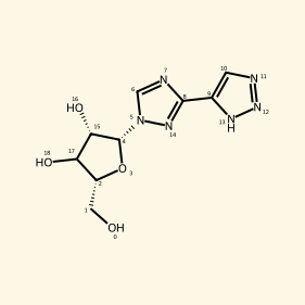 OC[C@H]1O[C@@H](n2cnc(-c3cnn[nH]3)n2)[C@@H](O)C1O